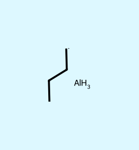 [AlH3].[CH2]CCC